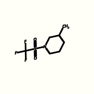 CC1CCCN(S(=O)(=O)C(F)(F)F)C1